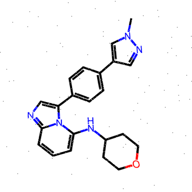 Cn1cc(-c2ccc(-c3cnc4cccc(NC5CCOCC5)n34)cc2)cn1